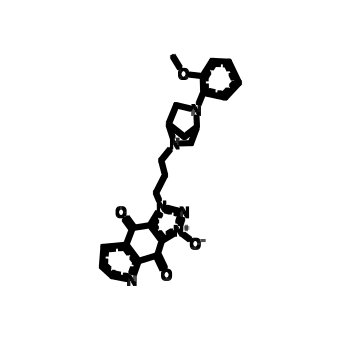 COc1ccccc1N1CC2CC1CN2CCCn1n[n+]([O-])c2c1C(=O)c1cccnc1C2=O